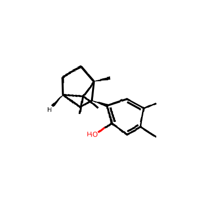 Cc1cc(O)c([C@H]2C[C@@H]3CC[C@@]2(C)C3(C)C)cc1C